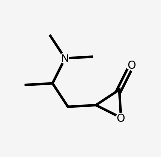 CC(CC1OC1=O)N(C)C